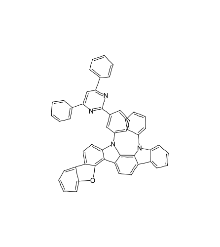 c1ccc(-c2cc(-c3ccccc3)nc(-c3cccc(-n4c5ccc6c7ccccc7oc6c5c5ccc6c7ccccc7n(-c7ccccc7)c6c54)c3)n2)cc1